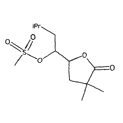 CC(C)CC(OS(C)(=O)=O)C1CC(C)(C)C(=O)O1